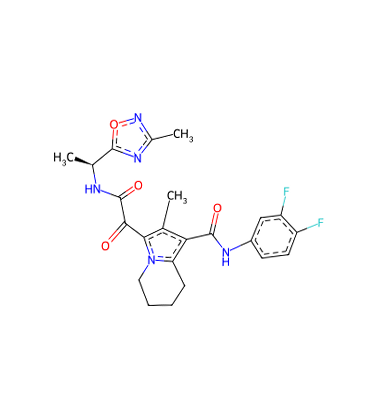 Cc1noc([C@H](C)NC(=O)C(=O)c2c(C)c(C(=O)Nc3ccc(F)c(F)c3)c3n2CCCC3)n1